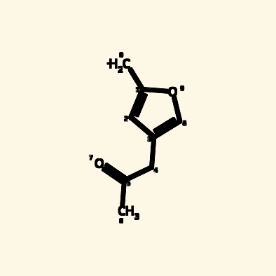 [CH2]c1cc(CC(C)=O)co1